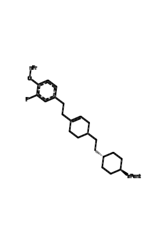 CCCCC[C@H]1CC[C@H](CCC2CC=C(CCc3ccc(OCCC)c(F)c3)CC2)CC1